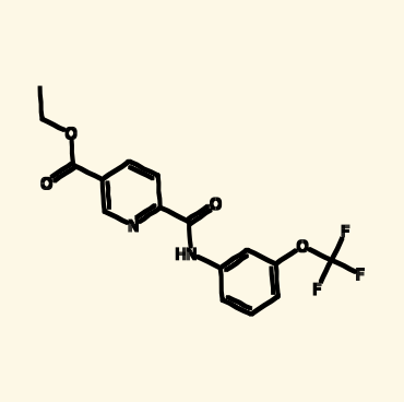 CCOC(=O)c1ccc(C(=O)Nc2cccc(OC(F)(F)F)c2)nc1